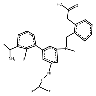 CC(N)c1cccc(-c2cc(NCC(F)F)cc(N(C)Cc3ccccc3CC(=O)O)c2)c1F